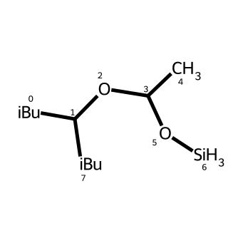 CCC(C)C(OC(C)O[SiH3])C(C)CC